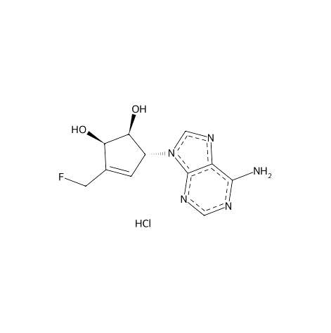 Cl.Nc1ncnc2c1ncn2[C@@H]1C=C(CF)[C@@H](O)[C@H]1O